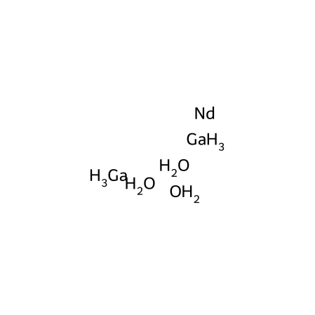 O.O.O.[GaH3].[GaH3].[Nd]